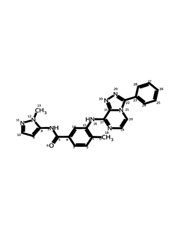 Cc1ccc(C(=O)Nc2ccnn2C)cc1Nc1nccn2c(-c3ccccc3)nnc12